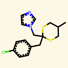 CC1CSC(Cc2ccc(Cl)cc2)(Cn2ccnc2)SC1